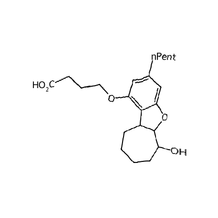 CCCCCc1cc(OCCCC(=O)O)c2c(c1)OC1C(O)CCCCC21